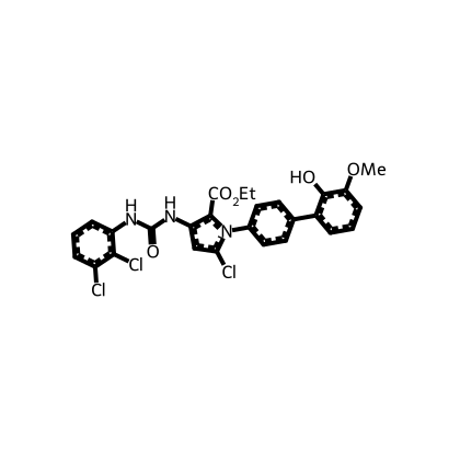 CCOC(=O)c1c(NC(=O)Nc2cccc(Cl)c2Cl)cc(Cl)n1-c1ccc(-c2cccc(OC)c2O)cc1